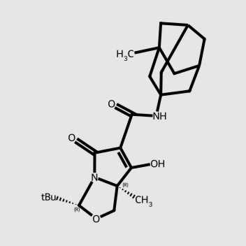 CC12CC3CC(C1)CC(NC(=O)C1=C(O)[C@@]4(C)CO[C@H](C(C)(C)C)N4C1=O)(C3)C2